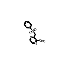 O=Cc1nccnc1CS(=O)(=O)c1ccccc1